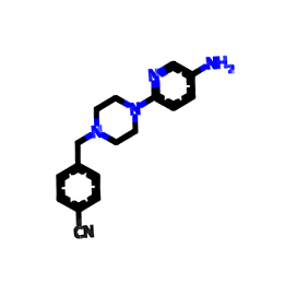 N#Cc1ccc(CN2CCN(c3ccc(N)cn3)CC2)cc1